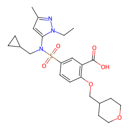 CCn1nc(C)cc1N(CC1CC1)S(=O)(=O)c1ccc(OCC2CCOCC2)c(C(=O)O)c1